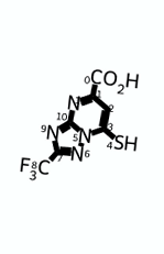 O=C(O)c1cc(S)n2nc(C(F)(F)F)nc2n1